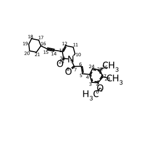 COc1cc(/C=C/C(=O)N2CCC=C(C#CC3CCCCC3)C2=O)cc(C)c1C